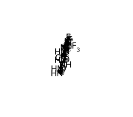 O=C(CNCCNC(=O)c1ccc(Nc2nccn3c(-c4cn(CC(F)F)nc4C(F)(F)F)cnc23)cc1Cl)N[C@H]1CCNC1